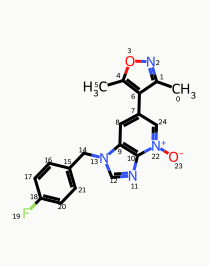 Cc1noc(C)c1-c1cc2c(ncn2Cc2ccc(F)cc2)[n+]([O-])c1